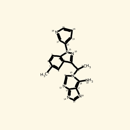 Cc1ccc2c(c1)c(C(C)n1cnc3ncnc-3c1N)nn2-c1cccnc1